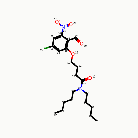 CCCCCN(CCCCC)C(=O)CCCOc1cc(F)cc([N+](=O)[O-])c1C=O